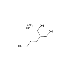 Cl.OCCCC(CO)CO.[CaH2]